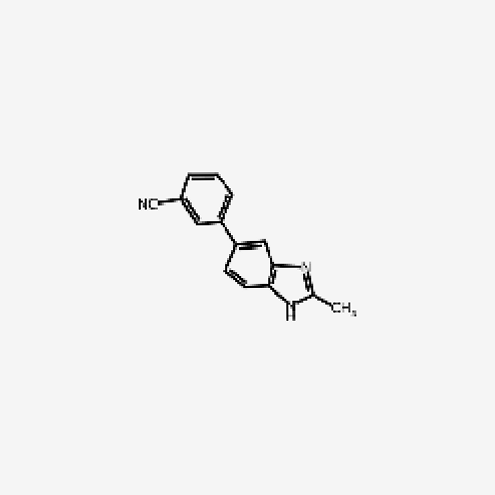 Cc1nc2cc(-c3cccc(C#N)c3)ccc2[nH]1